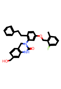 Cc1cccc(F)c1COc1ccc(CCc2ccccc2)c(N2Cc3ccc(CO)cc3NC2=O)c1